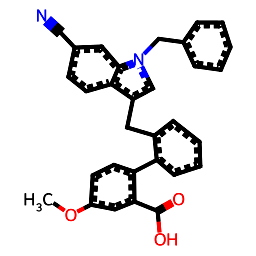 COc1ccc(-c2ccccc2Cc2cn(Cc3ccccc3)c3cc(C#N)ccc23)c(C(=O)O)c1